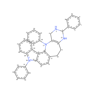 c1ccc(C2NCC3=C(CCc4ccc5c(c4N3c3ccccc3)c3ccccc3n5-c3ccccc3)N2)cc1